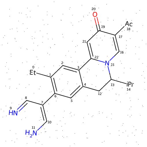 CCc1cc2c(cc1/C(C=N)=C/N)CC(C(C)C)n1cc(C(C)=O)c(=O)cc1-2